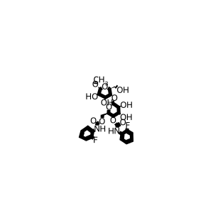 CO[C@@H]1O[C@H](CO)[C@@H](O[C@@H]2O[C@H](COC(=O)Nc3ccccc3F)[C@@H](OC(=O)Nc3ccccc3F)[C@H](O)[C@H]2O)[C@H](O)[C@H]1O